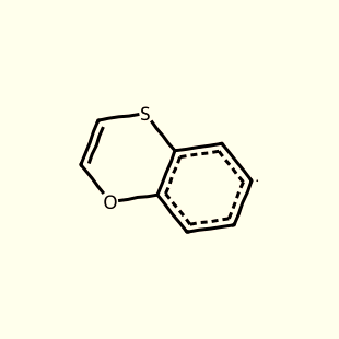 [c]1ccc2c(c1)SC=CO2